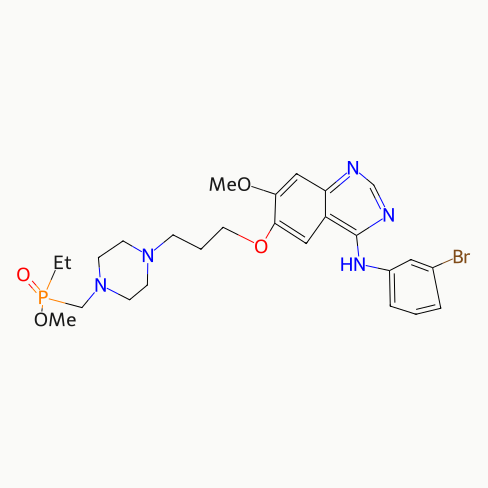 CCP(=O)(CN1CCN(CCCOc2cc3c(Nc4cccc(Br)c4)ncnc3cc2OC)CC1)OC